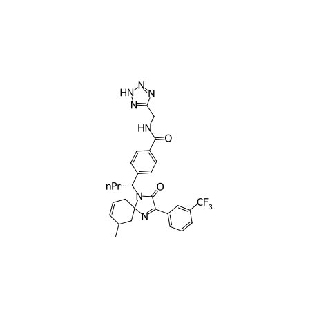 CCC[C@H](c1ccc(C(=O)NCc2nn[nH]n2)cc1)N1C(=O)C(c2cccc(C(F)(F)F)c2)=NC12CC=CC(C)C2